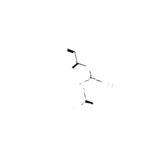 C=CC(=O)OC(C)NC(C)=O